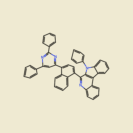 c1ccc(-c2cc(-c3ccc(-c4nc5ccccc5c5c6ccccc6n(-c6ccccc6)c45)c4ccccc34)nc(-c3ccccc3)n2)cc1